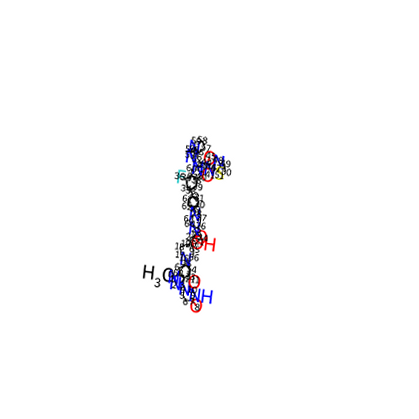 Cn1nc(N2CCC(=O)NC2=O)c2ccc(N3CCCC(O)(CC(=O)N4CCN(c5ccc(-c6cc(F)c7c(c6)C(=O)N(C(C(=O)Nc6nccs6)c6ncn8c6CCC8)C7)cc5)CC4)CC3)cc21